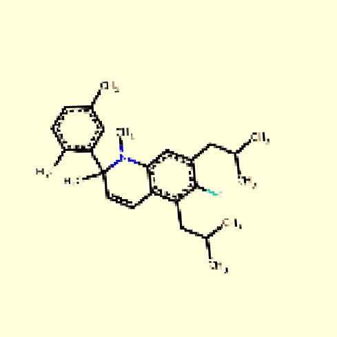 Cc1ccc(C)c(C2(C)C=Cc3c(cc(CC(C)C)c(F)c3CC(C)C)N2C)c1